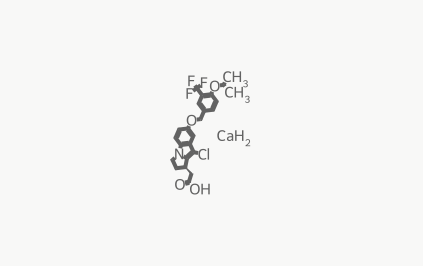 CC(C)Oc1ccc(COc2ccc3c(c2)c(Cl)c2n3CC[C@@H]2CC(=O)O)cc1C(F)(F)F.[CaH2]